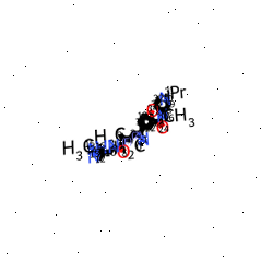 C=N/C(=C\C=C(/C)C(=O)NCc1cnn(C)c1)c1ccc2c(c1)C(=O)N(C)C1(CCN(C(C)C)CC1)O2